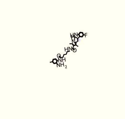 Cc1ccc(NC(=O)CCCCCNC(=O)c2c(C)[nH]c(/C=C3\C(=O)Nc4ccc(F)cc43)c2C)c(N)c1